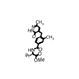 COC(=O)[C@H](NC(=O)c1ccc(Cc2cc(C)n[nH]c2=O)c(C)c1)C(C)C